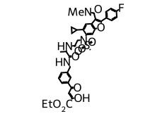 CCOC(=O)C(O)=CC(=O)c1cccc(CNC(=O)C(C)NC(=O)CN(c2cc3oc(-c4ccc(F)cc4)c(C(=O)NC)c3cc2C2CC2)S(C)(=O)=O)c1